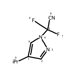 CC(C)c1cnn(C(F)(F)C#N)c1